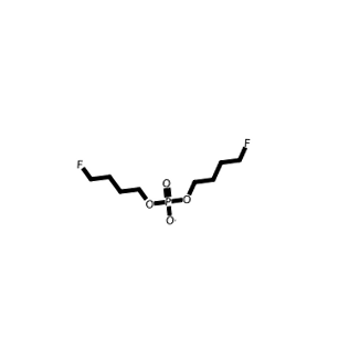 [O]P(=O)(OCCCCF)OCCCCF